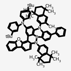 Cc1cc2c(cc1N1c3cc(-c4ccccc4)ccc3B3c4c(cc(N(c5ccc(C(C)(C)C)cc5)c5cccc(C(C)(C)C)c5)cc41)-c1c(ccc4c1oc1ccccc14)N3c1ccc3c(c1)C(C)(C)CCC3(C)C)C(C)(C)CCC2(C)C